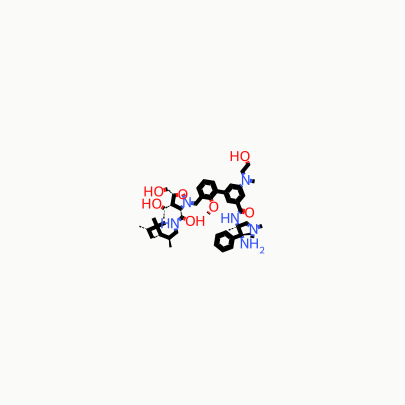 COc1c(CN2O[C@@H](CO)[C@@H]([C@H](C)O)[C@H]2C(O)NC[C@@H](C)[C@@H]2C[C@H](C)C2(C)C)cccc1-c1cc(C(=O)N[C@@](C)(CN(C)C)[C@](C)(N)c2ccccc2)cc(N(C)CCO)c1